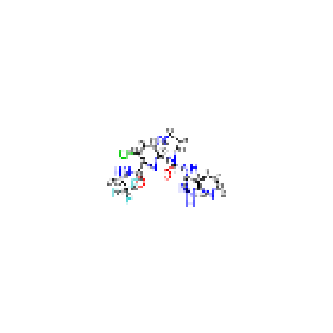 Cc1ccc2c(NC(=O)N3c4nc(C(=O)NC(C)C(F)(F)F)c(Cl)cc4N4CCC3C4)n[nH]c2n1